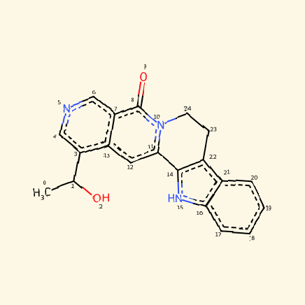 CC(O)c1cncc2c(=O)n3c(cc12)-c1[nH]c2ccccc2c1CC3